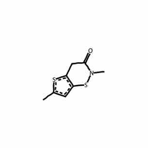 Cc1cc2c(s1)CC(=O)N(C)S2